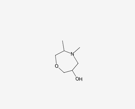 CC1COCC(O)CN1C